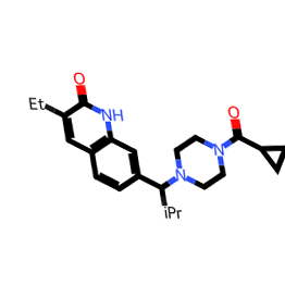 CCc1cc2ccc(C(C(C)C)N3CCN(C(=O)C4CC4)CC3)cc2[nH]c1=O